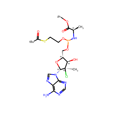 CC(C)OC(=O)[C@@H](C)NP(OCCSC(=O)C(C)(C)C)OC[C@H]1O[C@@H](n2cnc3c(N)ncnc32)[C@](C)(Cl)[C@@H]1O